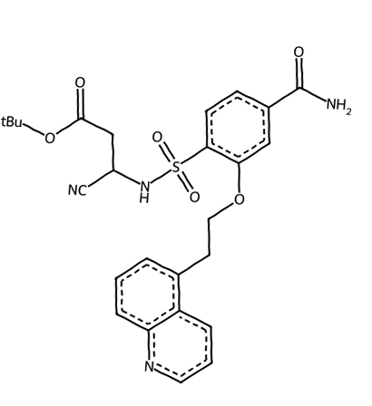 CC(C)(C)OC(=O)CC(C#N)NS(=O)(=O)c1ccc(C(N)=O)cc1OCCc1cccc2ncccc12